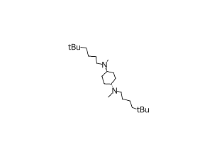 CN(CCCCC(C)(C)C)[C@H]1CC[C@H](N(C)CCCCC(C)(C)C)CC1